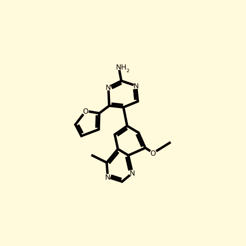 COc1cc(-c2cnc(N)nc2-c2ccco2)cc2c(C)ncnc12